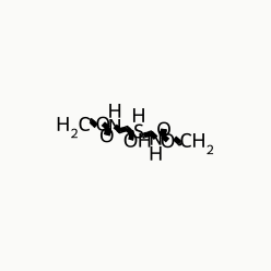 C=CCOC(=O)NCC[SH]=C(O)CCNC(=O)OCC=C